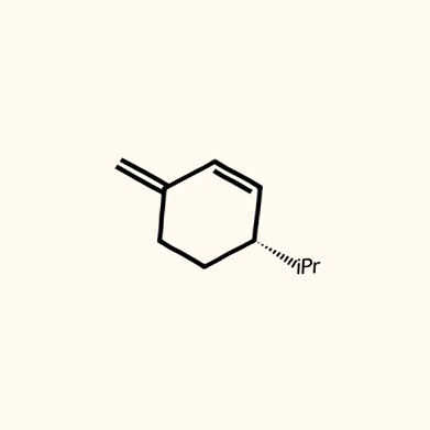 C=C1C=C[C@H](C(C)C)CC1